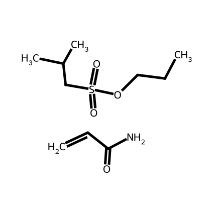 C=CC(N)=O.CCCOS(=O)(=O)CC(C)C